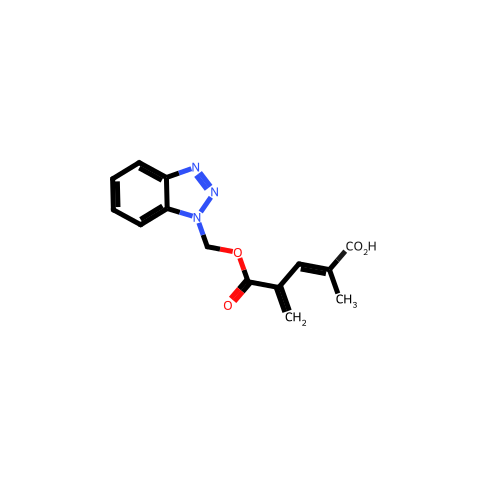 C=C(C=C(C)C(=O)O)C(=O)OCn1nnc2ccccc21